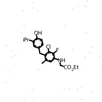 CCOC(=O)CNc1cc(C)c(Cc2ccc(O)c(C(C)C)c2)c(Cl)c1F